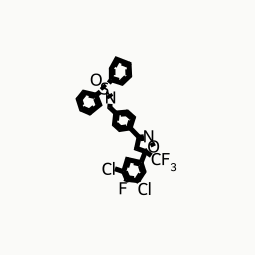 O=S(=NCc1ccc(C2=NOC(c3cc(Cl)c(F)c(Cl)c3)(C(F)(F)F)C2)cc1)(c1ccccc1)c1ccccc1